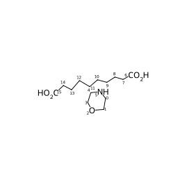 C1COCCN1.O=C(O)CCCCCCCCC(=O)O